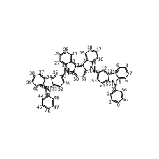 c1ccc(-n2c3ccccc3c3cc(-n4c5ccccc5c5c6c7ccccc7n(-c7ccc8c(c7)c7ccccc7n8-c7ccccc7)c6ccc54)ccc32)cc1